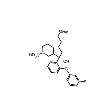 COCCCC[C@@](O)(c1ccccc1Oc1cccc(F)c1)C1CCCN(C(=O)O)C1